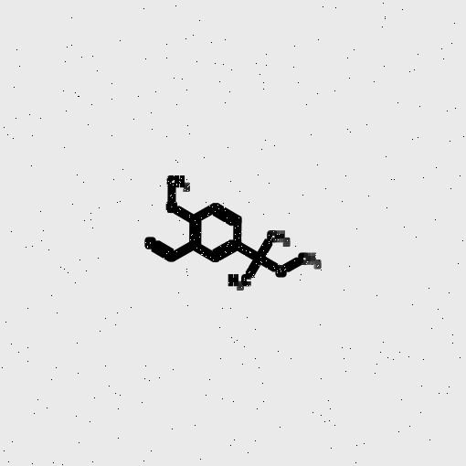 COc1ccc(C(C)(C)OC)cc1C=O